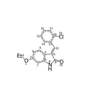 CCOc1ccc2c(c1)NC(=O)/C2=C/c1ccccc1Cl